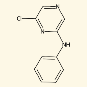 Clc1cncc(Nc2ccccc2)n1